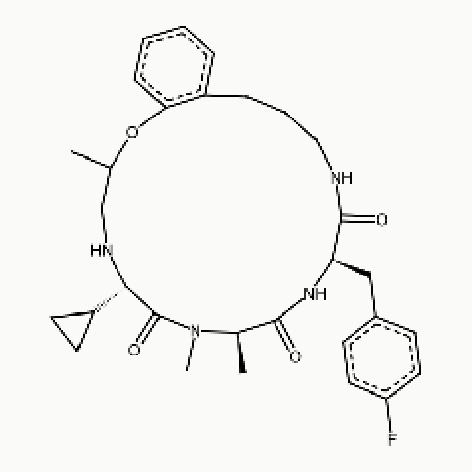 CC1CN[C@@H](C2CC2)C(=O)N(C)[C@H](C)C(=O)N[C@H](Cc2ccc(F)cc2)C(=O)NCCCc2ccccc2O1